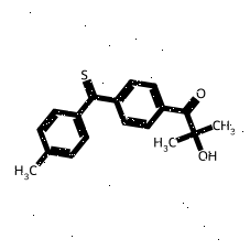 Cc1ccc(C(=S)c2ccc(C(=O)C(C)(C)O)cc2)cc1